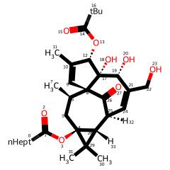 CCCCCCCC(=O)O[C@@]12C[C@@H](C)[C@]34C=C(C)[C@H](OC(=O)C(C)(C)C)[C@@]3(O)[C@H](O)C(CO)=C[C@H](C4=O)[C@@H]1C2(C)C